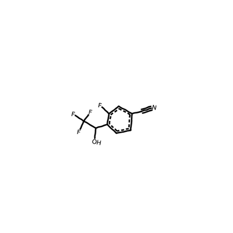 N#Cc1ccc(C(O)C(F)(F)F)c(F)c1